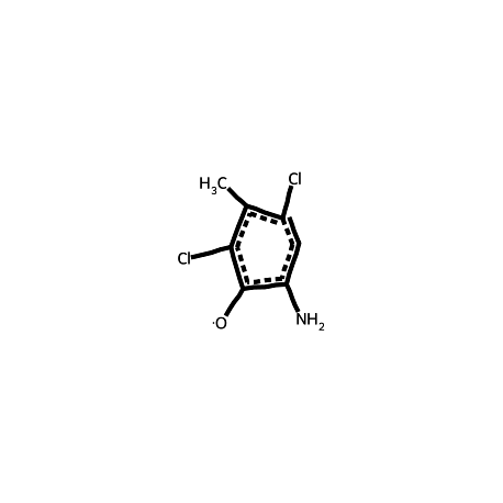 Cc1c(Cl)cc(N)c([O])c1Cl